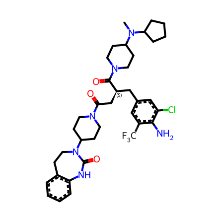 CN(C1CCCC1)C1CCN(C(=O)[C@H](CC(=O)N2CCC(N3CCc4ccccc4NC3=O)CC2)Cc2cc(Cl)c(N)c(C(F)(F)F)c2)CC1